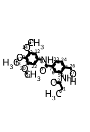 CCC(=O)Nc1cc(C(=O)Nc2cc(OC)c(OC)c(OC)c2)ccc1CO